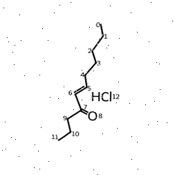 CCCCCC=CC(=O)CCC.Cl